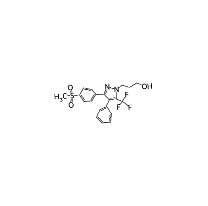 CS(=O)(=O)c1ccc(-c2nn(CCCO)c(C(F)(F)F)c2-c2ccccc2)cc1